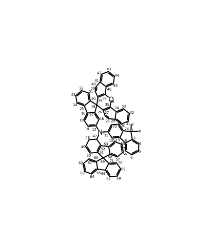 CC1(C)c2ccccc2-c2cc(N(c3ccc4c(c3)C3(c5ccccc5-4)c4ccc5ccccc5c4Oc4c3ccc3ccccc43)C3CC=CC4=C3c3ccccc3C43c4ccccc4-c4ccccc43)ccc21